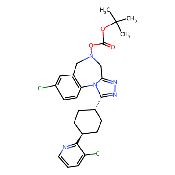 CC(C)(C)OC(=O)ON1Cc2cc(Cl)ccc2-n2c(nnc2[C@H]2CC[C@H](c3ncccc3Cl)CC2)C1